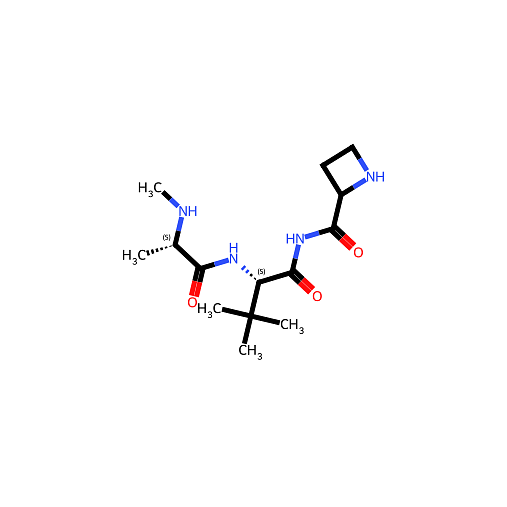 CN[C@@H](C)C(=O)N[C@H](C(=O)NC(=O)C1CCN1)C(C)(C)C